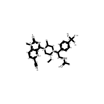 CC[C@@H]1CN(c2nc(=O)n(C)c3ccc(C#N)nc23)C(C)CN1C(CNC(C)=O)c1ccc(C(F)(F)F)cc1